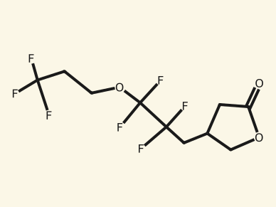 O=C1CC(CC(F)(F)C(F)(F)OCCC(F)(F)F)CO1